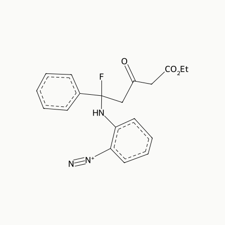 CCOC(=O)CC(=O)CC(F)(Nc1ccccc1[N+]#N)c1ccccc1